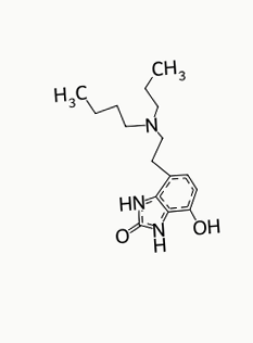 CCCCN(CCC)CCc1ccc(O)c2[nH]c(=O)[nH]c12